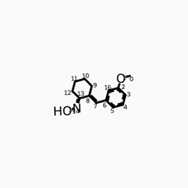 COc1cccc(/C=C2\CCCC\C2=N/O)c1